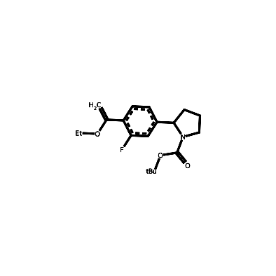 C=C(OCC)c1ccc(C2CCCN2C(=O)OC(C)(C)C)cc1F